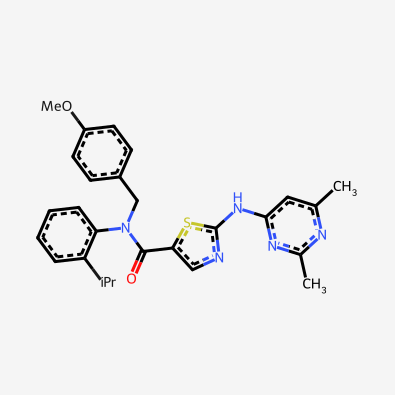 COc1ccc(CN(C(=O)c2cnc(Nc3cc(C)nc(C)n3)s2)c2ccccc2C(C)C)cc1